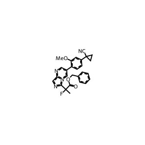 COc1cc(C2(C#N)CC2)ccc1-c1cnc2cnc(C(C)(F)C(=O)OCc3ccccc3)n2c1